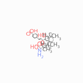 CC(C)[C@H](N)C(=O)O.CC1(C)CCC(C)(C)c2cc(C(=O)/C=C/c3ccc(C(=O)O)cc3)c(O)cc21